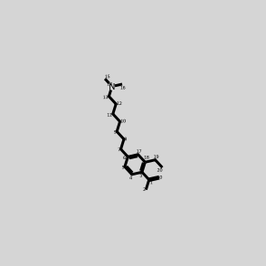 C=C(C)c1ccc(CCCCCCCN(C)C)cc1CC